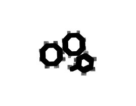 C1=CCCC=CCC1.C1=CCCC=CCC1.Cc1ccccc1